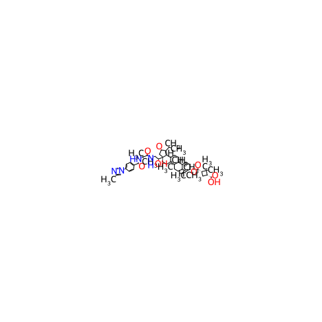 Cc1cn(-c2ccc(C(=O)NC(C)(C)C(=O)NC[C@H](O)[C@@]34CC[C@]5(C)[C@H](CC[C@@H]6[C@@]7(C)CC[C@H](OC(=O)[C@H]8C[C@@H](C(=O)O)C8(C)C)C(C)(C)[C@@H]7CC[C@]65C)C3=C(C(C)C)C(=O)C4)cc2)cn1